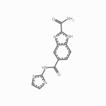 NC(=O)c1nc2cc(C(=O)Nc3nccs3)ccc2[nH]1